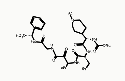 CCCC(NC(=O)[C@H](CC(C)C)NC(=O)[C@@H](NC(=O)OCC(C)C)C1CCN(C(C)=O)CC1)C(=O)C(=O)NCC(=O)N[C@H](C(=O)O)c1ccccc1